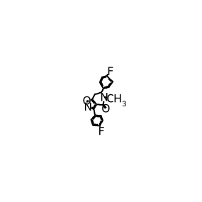 CN1C(=O)c2c(-c3ccc(F)cc3)noc2CC1c1ccc(F)cc1